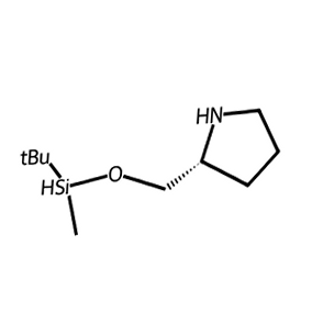 C[SiH](OC[C@H]1CCCN1)C(C)(C)C